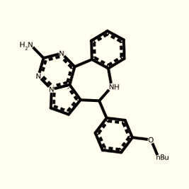 CCCCOc1cccc(C2Nc3ccccc3-c3nc(N)nn4ccc2c34)c1